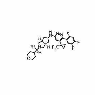 [2H]C([2H])(C1CCOCC1)N1C[C@H]2CC(Nc3cc(C4(C(F)(F)F)CC4)c(-c4cc(F)c(F)cc4F)nn3)C[C@H]2C1